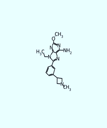 CCn1c(-c2cccc(C3CN(C)C3)c2)nc2c(N)nc(OC)nc21